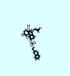 O=C(OCCC1=CCc2ccccc2C1)Oc1ccc2c3c1OC1C(=O)CCC4(O)C5N(CC6CC6)C25CC314